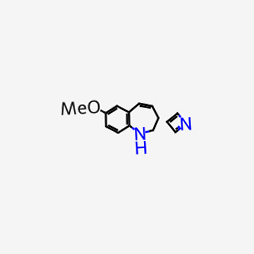 C1=CN=C1.COc1ccc2c(c1)C=CCCN2